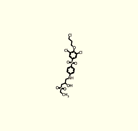 CCS(=O)(=O)CC(O)CNc1ccc(S(=O)(=O)c2cc(Cl)c(OCCCCl)c(Cl)c2)cc1